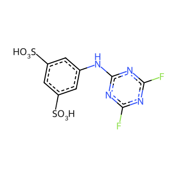 O=S(=O)(O)c1cc(Nc2nc(F)nc(F)n2)cc(S(=O)(=O)O)c1